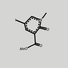 COC(=O)c1cc(I)cn(C)c1=O